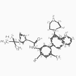 Cc1cc(F)c(NC(=O)c2cn(C(C)(C)C)cn2)cc1-c1cc(N2CCOCC2)c2nccn2c1